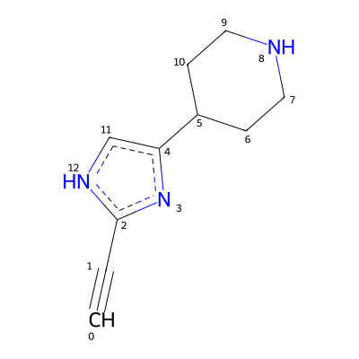 C#Cc1nc(C2CCNCC2)c[nH]1